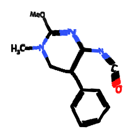 COC1=NC(N=C=O)C(c2ccccc2)CN1C